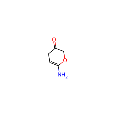 NC1=CCC(=O)CO1